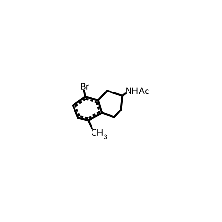 CC(=O)NC1CCc2c(C)ccc(Br)c2C1